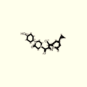 O=C(c1nn2c(I)cc(C3CC3)cc2c1Cl)N1CCN([C@H]2CC[C@H](O)CC2)C(=O)C1